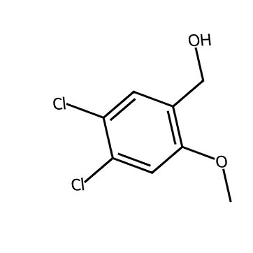 COc1cc(Cl)c(Cl)cc1CO